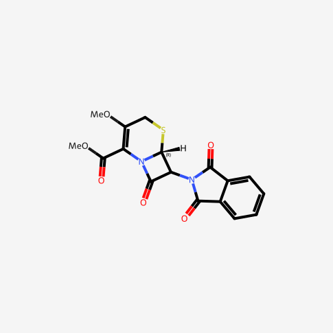 COC(=O)C1=C(OC)CS[C@@H]2C(N3C(=O)c4ccccc4C3=O)C(=O)N12